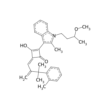 C=C(/C=C1\C(=O)C(c2c(C)n(CCC(C)OC)c3ccccc23)=C1O)C(C)(C)c1ccccc1C